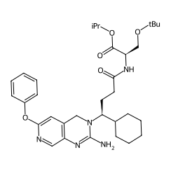 CC(C)OC(=O)[C@@H](COC(C)(C)C)NC(=O)CC[C@@H](C1CCCCC1)N1Cc2cc(Oc3ccccc3)ncc2N=C1N